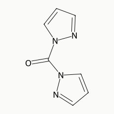 O=C(n1cccn1)n1cccn1